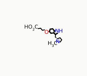 CN1CCC[C@@H]1Cc1c[nH]c2ccc(OCCCCC(=O)O)cc12